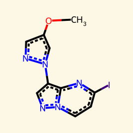 COc1cnn(-c2cnn3ccc(I)nc23)c1